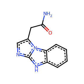 NC(=O)Cc1cnc2[nH]c3ccccc3n12